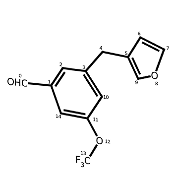 O=Cc1cc(Cc2ccoc2)cc(OC(F)(F)F)c1